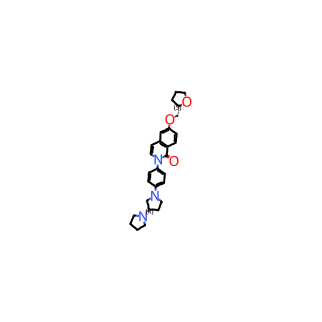 O=c1c2ccc(OC[C@@H]3CCCO3)cc2ccn1-c1ccc(N2CC[C@@H](N3CCCC3)C2)cc1